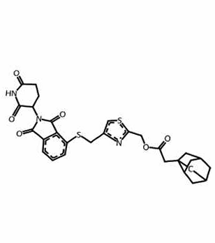 O=C1CCC(N2C(=O)c3cccc(SCc4csc(COC(=O)CC56CC7CC(CC5C7)C6)n4)c3C2=O)C(=O)N1